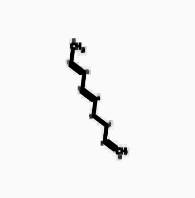 [CH]=CCCC=CC=CC